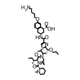 CCCO[C@H](CC(C(C)C)N(CCC)C(=O)[C@@H](NC(=O)[C@H]1CCCCN1C)[C@@H](C)CC)c1nc(C(=O)N[C@H]2Cc3ccc(OCCCCN)cc3[C@H](C(=O)O)C2)cs1